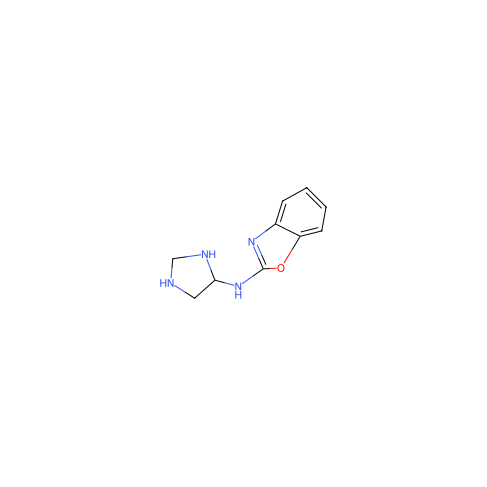 c1ccc2oc(NC3CNCN3)nc2c1